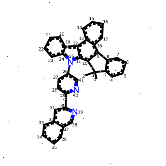 CC1(C)c2ccccc2-c2c1c1c(c3ccccc23)c2ccccc2n1-c1ccc(-c2cc3ccccc3cn2)nc1